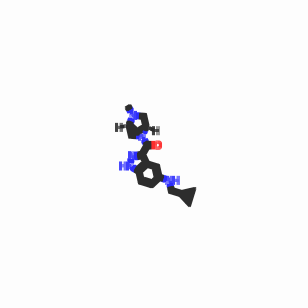 CN1C[C@@H]2C[C@H]1CN2C(=O)c1n[nH]c2ccc(NCC3CC3)cc12